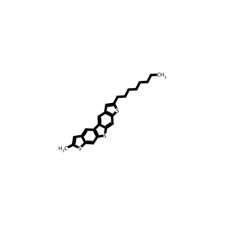 CCCCCCCCc1cc2cc3c(cc2s1)sc1cc2sc(C)cc2cc13